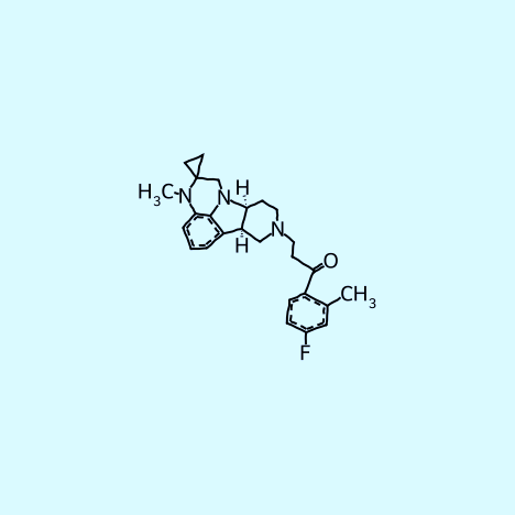 Cc1cc(F)ccc1C(=O)CCN1CC[C@H]2[C@@H](C1)c1cccc3c1N2CC1(CC1)N3C